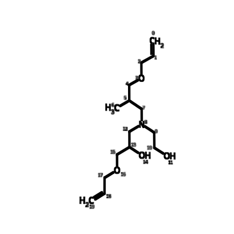 C=CCOCC(C)CN(CCO)CC(O)COCC=C